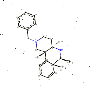 C[C@@H]1N[C@@H]2CCN(Cc3ccccc3)C[C@H]2C2=C=CC=CC21C